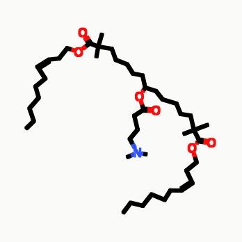 CCCCCC/C=C\CCOC(=O)C(C)(C)CCCCCC(CCCCCC(C)(C)C(=O)OCC/C=C\CCCCCC)OC(=O)CCCN(C)C